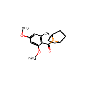 CCCCOc1cc(C)c(C(=O)P2C3CCC2CC3)c(OCCCC)c1